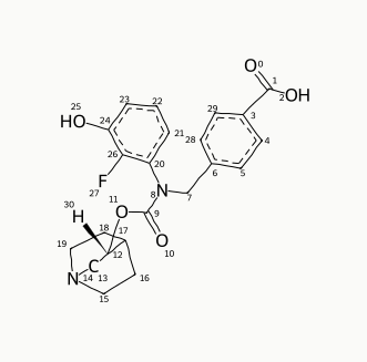 O=C(O)c1ccc(CN(C(=O)O[C@H]2CN3CCC2CC3)c2cccc(O)c2F)cc1